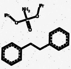 CC(C)OP(N)(=O)OC(C)C.c1ccc(CCc2ccccc2)cc1